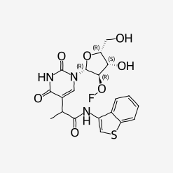 CC(C(=O)Nc1csc2ccccc12)c1cn([C@@H]2O[C@H](CO)[C@H](O)[C@H]2OF)c(=O)[nH]c1=O